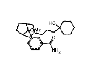 COC1(c2cccc(C(N)=O)c2)C2CCC1CN(CCCC1(O)CCCCC1)C2